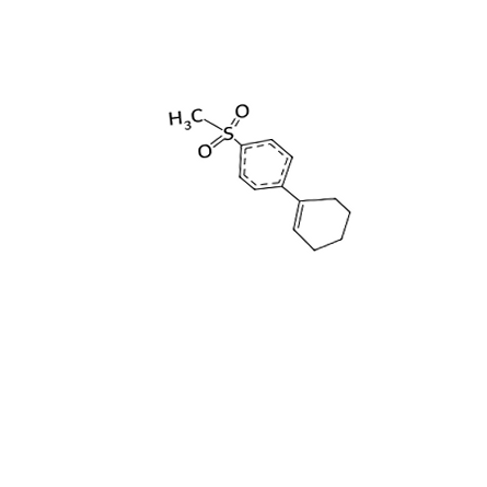 CS(=O)(=O)c1ccc(C2=CCCCC2)cc1